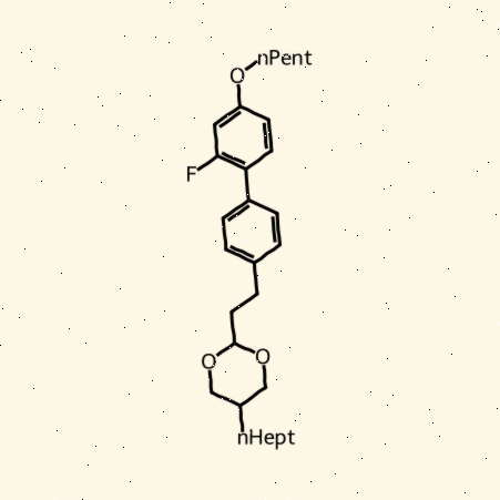 CCCCCCCC1COC(CCc2ccc(-c3ccc(OCCCCC)cc3F)cc2)OC1